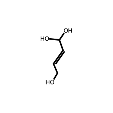 OCC=CC(O)O